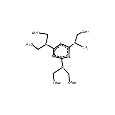 COCN(C)c1nc(N(COC)COC)nc(N(COC)COC)n1